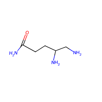 NCC(N)CCC(N)=O